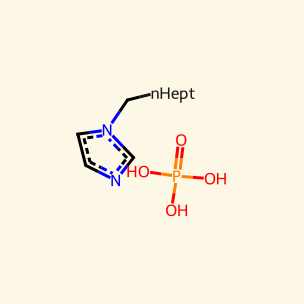 CCCCCCCCn1ccnc1.O=P(O)(O)O